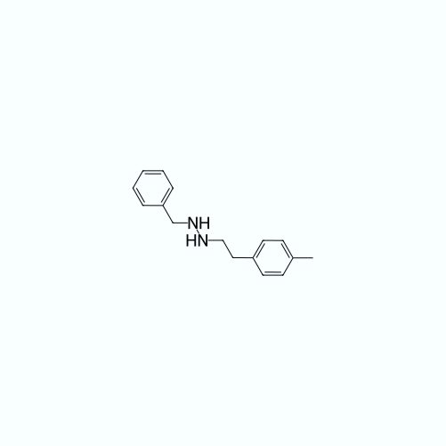 Cc1ccc(CCNNCc2ccccc2)cc1